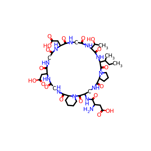 CCC(C)C1NC(=O)C(C(C)O)NC(=O)CNC(=O)C(CC(=O)O)NC(=O)CNC(=O)C(CC(=O)O)NC(=O)CNC(=O)C2CCCCN2C(=O)C(NC(=O)C(N)CC(=O)O)CNC(=O)C2CCCN2C1=O